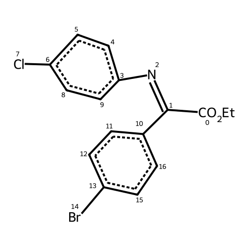 CCOC(=O)C(=Nc1ccc(Cl)cc1)c1ccc(Br)cc1